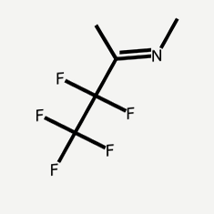 C/N=C(\C)C(F)(F)C(F)(F)F